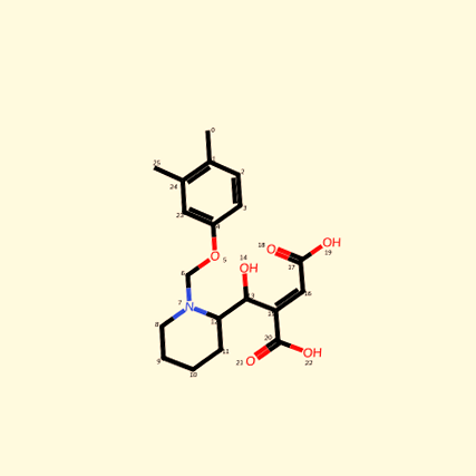 Cc1ccc(OCN2CCCCC2C(O)/C(=C\C(=O)O)C(=O)O)cc1C